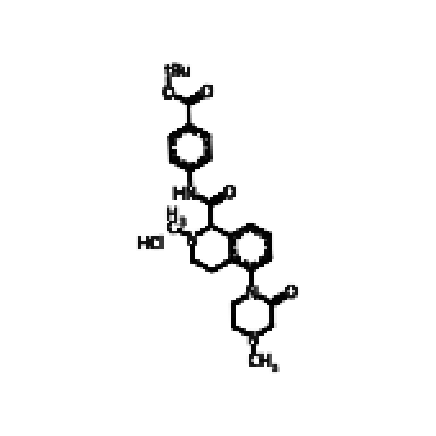 CN1CCN(c2cccc3c2CCN(C)C3C(=O)Nc2ccc(C(=O)OC(C)(C)C)cc2)C(=O)C1.Cl